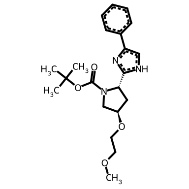 COCCO[C@@H]1C[C@@H](c2nc(-c3ccccc3)c[nH]2)N(C(=O)OC(C)(C)C)C1